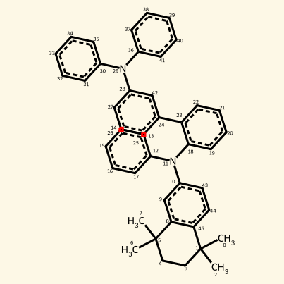 CC1(C)CCC(C)(C)c2cc(N(c3ccccc3)c3ccccc3-c3cccc(N(c4ccccc4)c4ccccc4)c3)ccc21